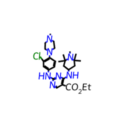 CCOC(=O)c1cnc(Nc2ccc(N3CCN(C)CC3)c(Cl)c2)nc1NC1CC(C)(C)N(C)C(C)(C)C1